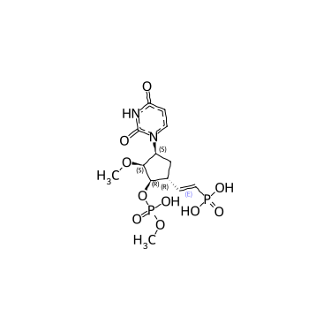 CO[C@@H]1[C@H](OP(=O)(O)OC)[C@@H](/C=C/P(=O)(O)O)C[C@@H]1n1ccc(=O)[nH]c1=O